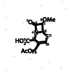 CO[C@H]1C(=O)N2C(C(=O)O)C(COC(C)=O)=CSC12